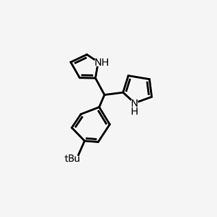 CC(C)(C)c1ccc(C(c2ccc[nH]2)c2ccc[nH]2)cc1